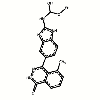 CCOC(O)Nc1nc2cc(-c3n[nH]c(=O)c4cccc(C)c34)ccc2[nH]1